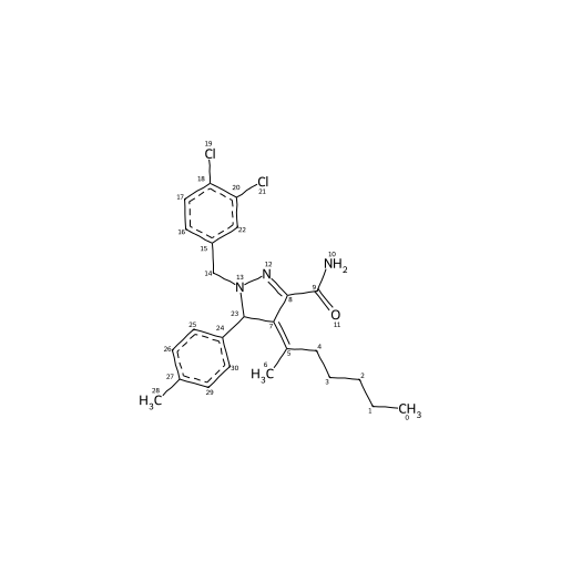 CCCCCC(C)=C1C(C(N)=O)=NN(Cc2ccc(Cl)c(Cl)c2)C1c1ccc(C)cc1